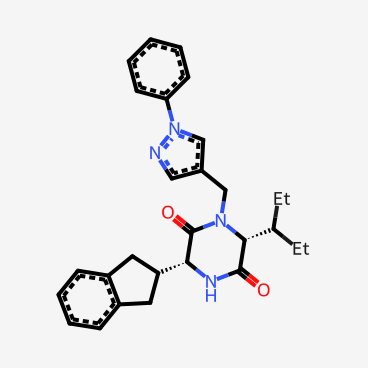 CCC(CC)[C@@H]1C(=O)N[C@H](C2Cc3ccccc3C2)C(=O)N1Cc1cnn(-c2ccccc2)c1